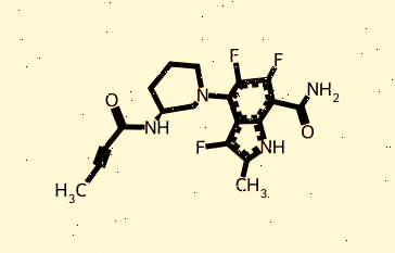 CC#CC(=O)N[C@H]1CCCN(c2c(F)c(F)c(C(N)=O)c3[nH]c(C)c(F)c23)C1